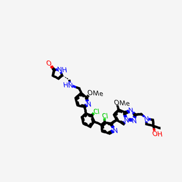 COc1nc(-c2cccc(-c3ccnc(-c4cc(OC)c5nc(CN6CC(C)(O)C6)nn5c4)c3Cl)c2Cl)ccc1CNC[C@@H]1CCC(=O)N1